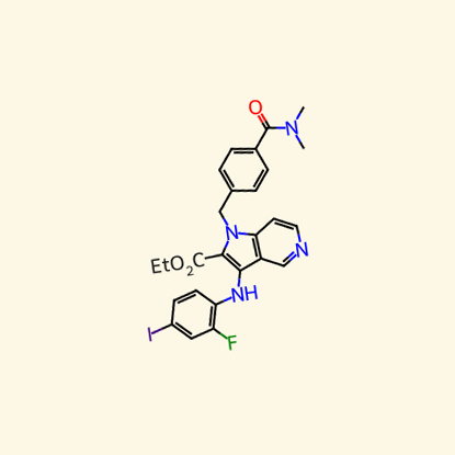 CCOC(=O)c1c(Nc2ccc(I)cc2F)c2cnccc2n1Cc1ccc(C(=O)N(C)C)cc1